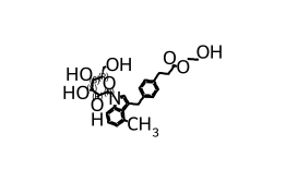 Cc1cccc2c1c(Cc1ccc(CCC(=O)OCCO)cc1)cn2[C@@H]1O[C@H](CO)[C@@H](O)[C@H](O)[C@H]1O